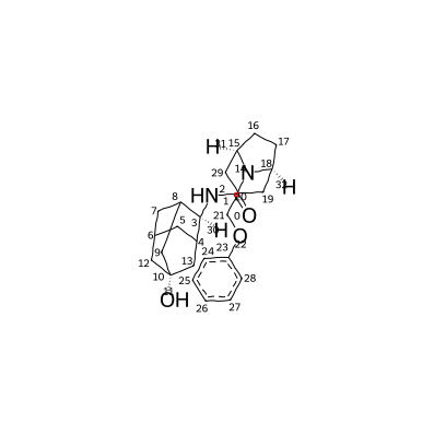 O=C(N[C@H]1C2CC3CC1C[C@](O)(C3)C2)N1[C@@H]2CC[C@H]1CC(COc1ccccc1)C2